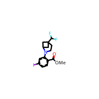 COC(=O)c1ccc(I)cc1N1CCC2(C(F)F)CC1C2